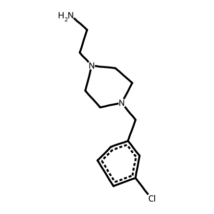 NCCN1CCN(Cc2cccc(Cl)c2)CC1